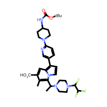 Cc1c(C(=O)O)cc2c(-c3ccc(N4CCC(NC(=O)OC(C)(C)C)CC4)nc3)ccn2c1C(C)N1CCN(C(F)C(F)F)CC1